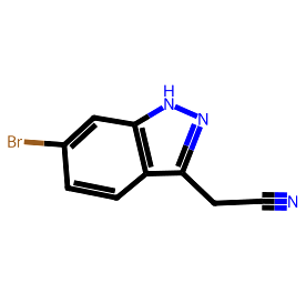 N#CCc1n[nH]c2cc(Br)ccc12